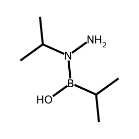 CC(C)B(O)N(N)C(C)C